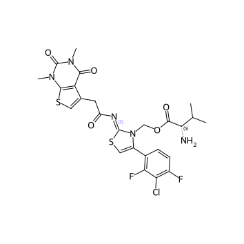 CC(C)[C@H](N)C(=O)OCn1c(-c2ccc(F)c(Cl)c2F)cs/c1=N\C(=O)Cc1csc2c1c(=O)n(C)c(=O)n2C